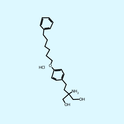 Cl.NC(CO)(CO)CCc1ccc(OCCCCCCc2ccccc2)cc1